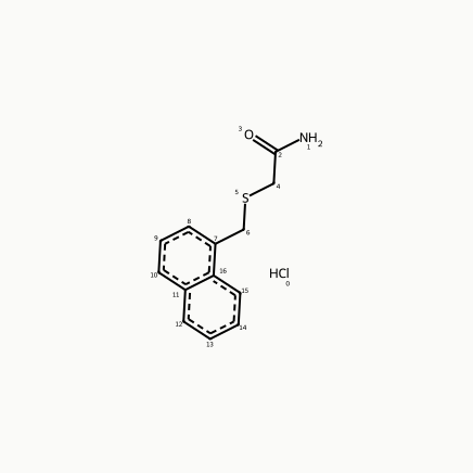 Cl.NC(=O)CSCc1cccc2ccccc12